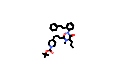 CCCC(C(=O)Nc1ccccc1CCc1ccccc1)N(C)C(=O)CCCC1CCN(C(=O)OC(C)(C)C)CC1